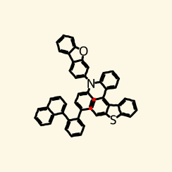 c1ccc(-c2cccc3ccccc23)c(-c2ccc(N(c3ccc4c(c3)oc3ccccc34)c3ccccc3-c3cccc4sc5ccccc5c34)cc2)c1